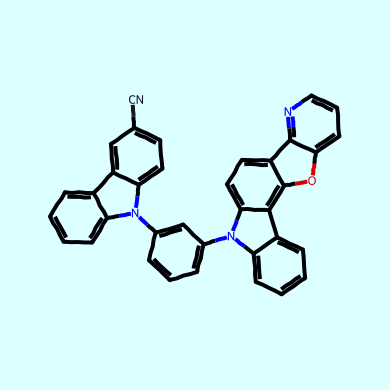 N#Cc1ccc2c(c1)c1ccccc1n2-c1cccc(-n2c3ccccc3c3c4oc5cccnc5c4ccc32)c1